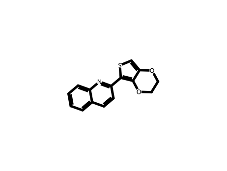 c1ccc2nc(-c3scc4c3OCCO4)ccc2c1